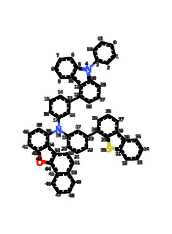 c1ccc(-n2c3ccccc3c3c(-c4cccc(N(c5cccc(-c6cccc7c6sc6ccccc67)c5)c5cccc6oc7c8ccccc8ccc7c56)c4)cccc32)cc1